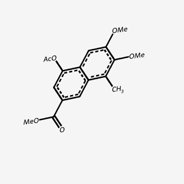 COC(=O)c1cc(OC(C)=O)c2cc(OC)c(OC)c(C)c2c1